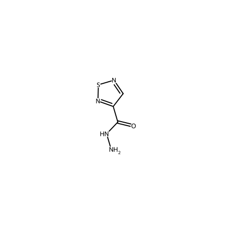 NNC(=O)c1cnsn1